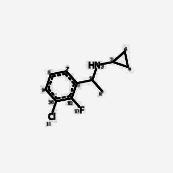 CC(NC1CC1)c1cccc(Cl)c1F